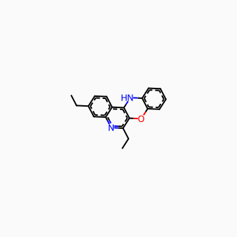 CCc1ccc2c3c(c(CC)nc2c1)Oc1ccccc1N3